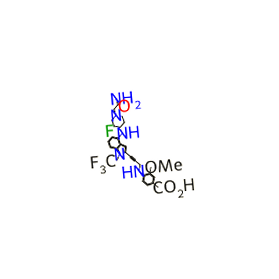 COc1cc(C(=O)O)ccc1NCC#Cc1cc2c(N[C@H]3CCN(CC(N)=O)C[C@H]3F)cccc2n1CC(F)(F)F